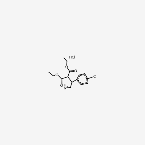 CCOC(=O)C(C(=O)OCC)C(CN)c1ccc(Cl)cc1.Cl